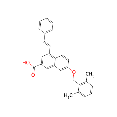 Cc1cccc(C)c1COc1ccc2c(/C=C/c3ccccc3)cc(C(=O)O)cc2c1